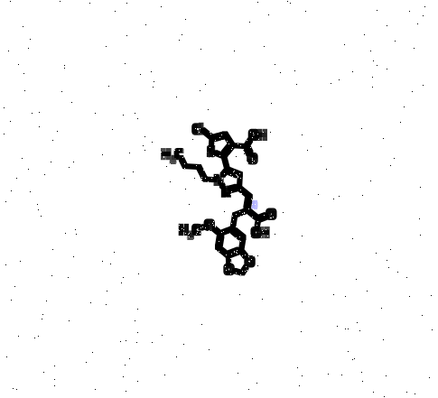 CCCCn1nc(/C=C(\Cc2cc3c(cc2OC)OCO3)C(=O)O)cc1-c1sc(Cl)cc1C(=O)O